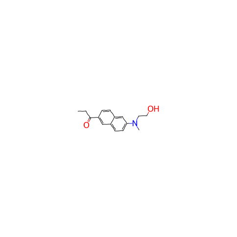 CCC(=O)c1ccc2cc(N(C)CCO)ccc2c1